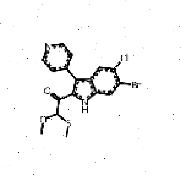 COC(SC)C(=O)c1[nH]c2cc(Br)c(Cl)cc2c1-c1ccncc1